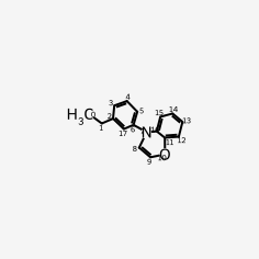 CCc1cccc(N2C=COc3ccccc32)c1